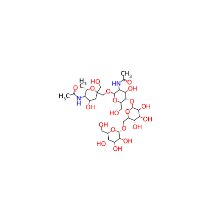 CC(=O)NC1C(O)[C@H](O[C@@H]2OC(CO[C@H]3OC(CO)[C@@H](O)C(O)C3O)[C@@H](O)C(O)C2O)C(CO)O[C@H]1OCC1(CO)CC(O)C(NC(C)=O)[C@H](C)O1